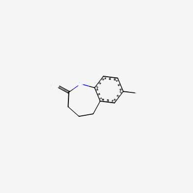 C=C1CCCc2cc(C(F)(F)F)ccc2N1